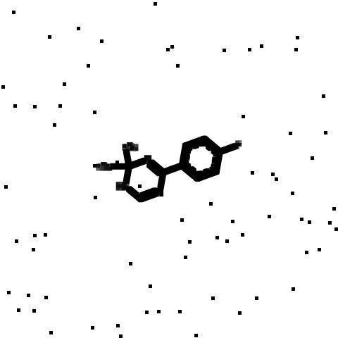 CCCCC1(CCCC)N=C(c2ccc(F)cc2)N=CN1